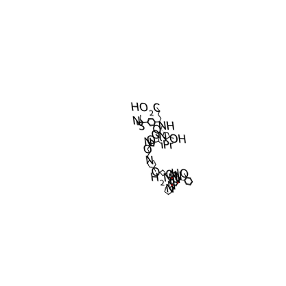 Cc1ncsc1-c1ccc([C@@H](CCCC(=O)O)NC(=O)[C@@H]2C[C@@H](O)CN2C(=O)C(c2cc(OCCN3CCC(O[C@H]4C[C@H](Oc5cc(N6C7CCC6CN(c6cc(-c8ccccc8O)nnc6N)C7)ccn5)C4)CC3)no2)C(C)C)cc1